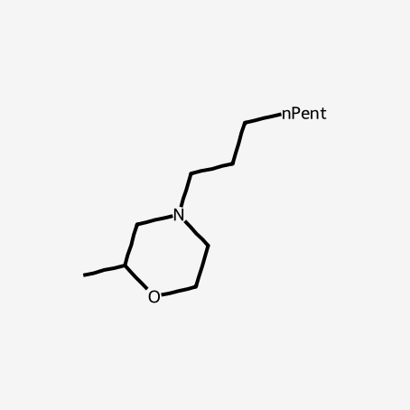 CCCCCCCCN1CCOC(C)C1